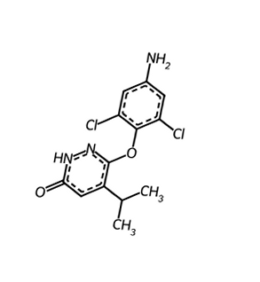 CC(C)c1cc(=O)[nH]nc1Oc1c(Cl)cc(N)cc1Cl